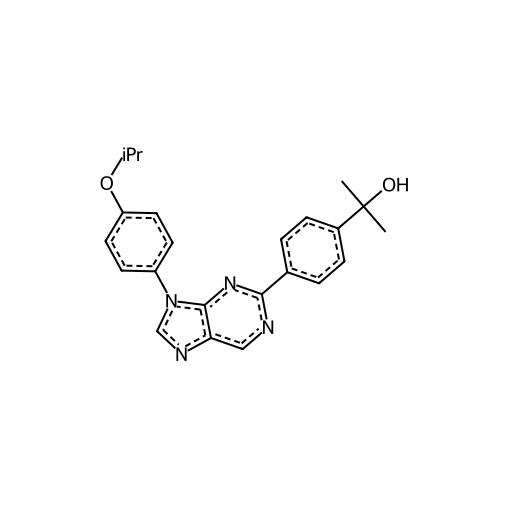 CC(C)Oc1ccc(-n2cnc3cnc(-c4ccc(C(C)(C)O)cc4)nc32)cc1